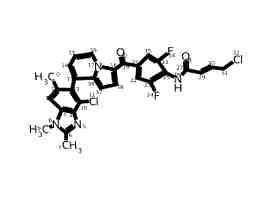 Cc1cc2c(nc(C)n2C)c(Cl)c1-c1cccn2c(C(=O)c3cc(F)c(NC(=O)/C=C/CCl)c(F)c3)ccc12